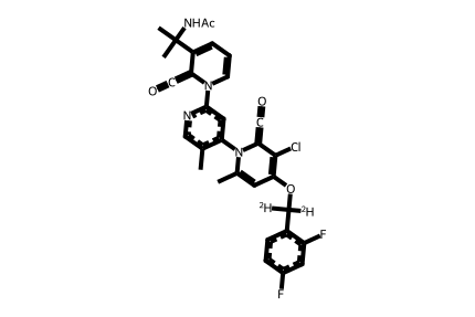 [2H]C([2H])(OC1=C(Cl)C(=C=O)N(c2cc(N3C=CC=C(C(C)(C)NC(C)=O)C3=C=O)ncc2C)C(C)=C1)c1ccc(F)cc1F